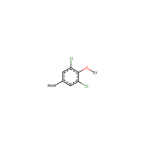 CCOc1c(Cl)cc(NC)cc1Cl